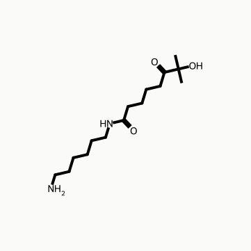 CC(C)(O)C(=O)CCCCC(=O)NCCCCCCN